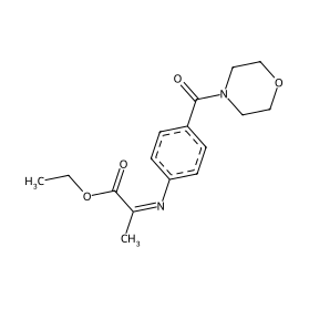 CCOC(=O)C(C)=Nc1ccc(C(=O)N2CCOCC2)cc1